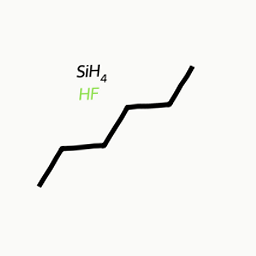 CCCCCC.F.[SiH4]